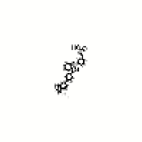 Cn1cnc2cc(-c3ccc(CC4(C(=O)Nc5cccc(/C=C/C(=O)O)c5)CCCCC4)cc3)ccc21